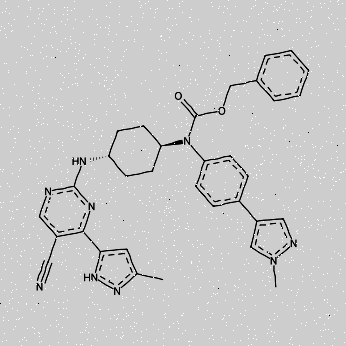 Cc1cc(-c2nc(N[C@H]3CC[C@H](N(C(=O)OCc4ccccc4)c4ccc(-c5cnn(C)c5)cc4)CC3)ncc2C#N)[nH]n1